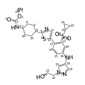 CC(C)OC(=O)NC1CCC(c2ncc(-c3ccc(Nc4cnn(CCO)c4)cc3S(=O)(=O)C3CC3)s2)CC1